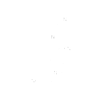 CC1CC=Cc2c1n(-c1ccc(-c3ccc(C4=C(n5c6c(c7ccccc75)C=C(C#N)CC=C6)CCC=C4)cc3)c(C#N)c1)c1ccc(C#N)cc21